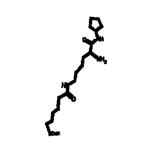 CCCCCCCCCCCCCCCC(=O)NCCCCC(N)C(=O)NC1CCCC1